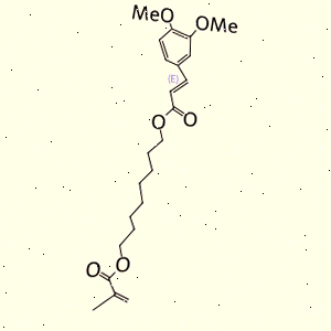 C=C(C)C(=O)OCCCCCCCCOC(=O)/C=C/c1ccc(OC)c(OC)c1